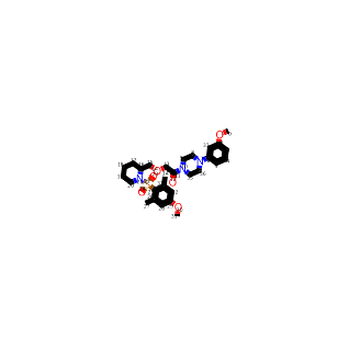 COc1cccc(N2CCN(C(=O)COCC3CCCCN3S(=O)(=O)c3c(C)cc(OC)cc3C)CC2)c1